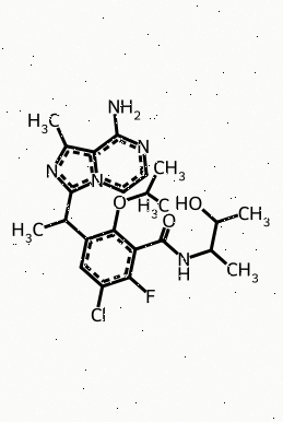 Cc1nc(C(C)c2cc(Cl)c(F)c(C(=O)NC(C)C(C)O)c2OC(C)C)n2ccnc(N)c12